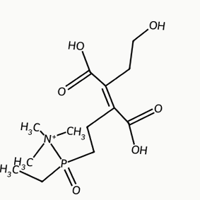 CCP(=O)(CC/C(C(=O)O)=C(/CCO)C(=O)O)[N+](C)(C)C